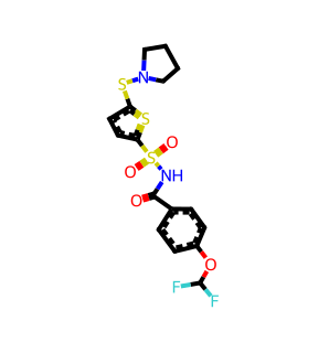 O=C(NS(=O)(=O)c1ccc(SN2CCCC2)s1)c1ccc(OC(F)F)cc1